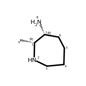 C[C@H]1NCCCC[C@H]1N